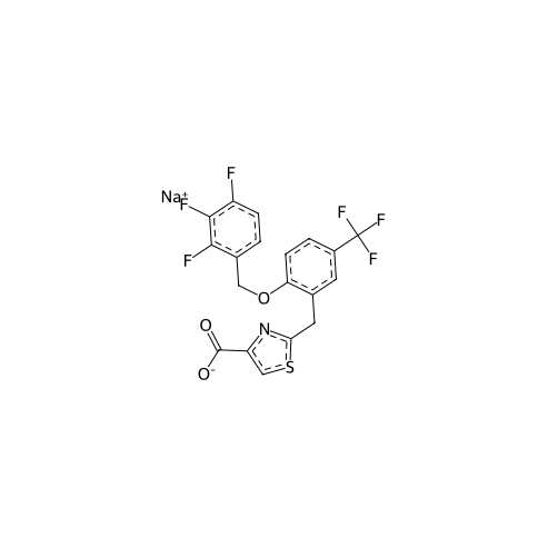 O=C([O-])c1csc(Cc2cc(C(F)(F)F)ccc2OCc2ccc(F)c(F)c2F)n1.[Na+]